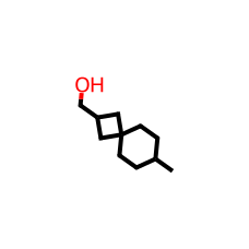 CC1CCC2(CC1)CC(CO)C2